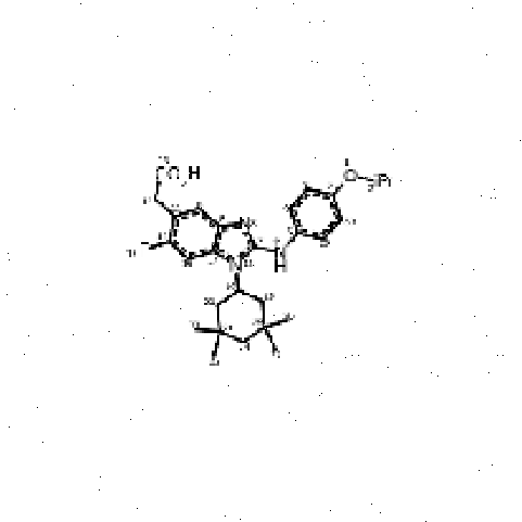 CC(C)Oc1ccc(Nc2nc3cc(CC(=O)O)c(F)cc3n2C2CC(C)(C)CC(C)(C)C2)cc1